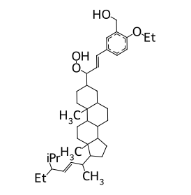 CCOc1ccc(/C=C/C(OO)C2CCC3(C)C(CCC4C3CCC3(C)C(C(C)/C=C/C(CC)C(C)C)CCC43)C2)cc1CO